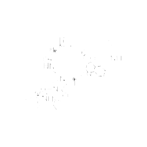 C=C[C@H](I)C(NC(=O)[C@@H]1C[C@@H]2CN1C(=O)[C@H](C1(C)CCCCC1)NC(=O)O[C@@H]1C[C@H]1CCCCCc1c(nc3ccccc3c1OC1CC(NC)C3(C1)CC1CC13)O2)C(=O)NS(=O)(=O)C1(C)CC1